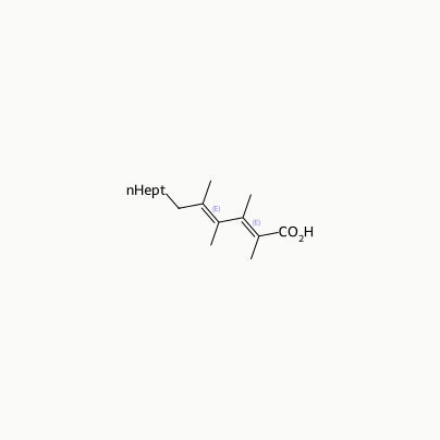 CCCCCCCC/C(C)=C(C)/C(C)=C(\C)C(=O)O